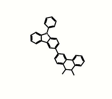 CC1c2ccccc2-c2cc(-c3ccc4c(c3)c3ccccc3n4-c3ccccc3)ccc2C1C